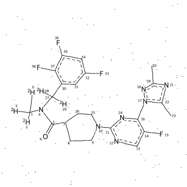 [2H]C([2H])([2H])N(C(=O)C1CCN(c2ncc(F)c(-n3nc(C)nc3C)n2)CC1)C([2H])([2H])c1cc(F)cc(F)c1F